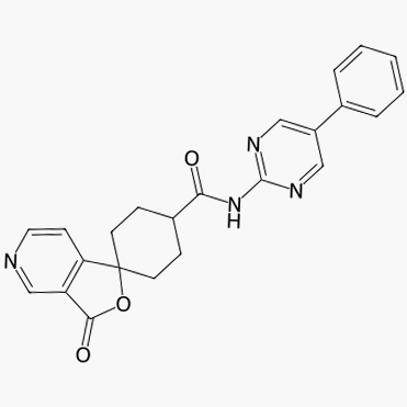 O=C1OC2(CCC(C(=O)Nc3ncc(-c4ccccc4)cn3)CC2)c2ccncc21